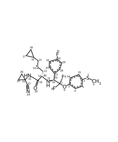 CSc1ccc(OC(F)(F)[C@@H](N[C@@H](CSCC2CC2)C(=O)NC2(C#N)CC2)c2ccc(F)cc2)cc1